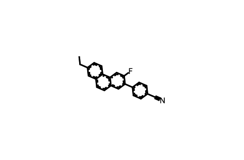 CCc1ccc2c(ccc3cc(-c4ccc(C#N)cc4)c(F)cc32)c1